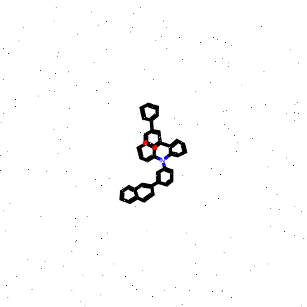 c1ccc(-c2cccc(-c3ccccc3N(c3ccccc3)c3cccc(-c4ccc5ccccc5c4)c3)c2)cc1